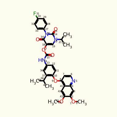 COc1cc2nccc(Oc3ccc(NC(=O)Oc4cn(C(C)C)c(=O)n(-c5ccc(F)cc5)c4=O)cc3C(C)C)c2cc1OC